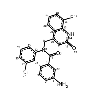 Nc1cccc(C(=O)N(Cc2cc(=O)[nH]c3c(F)cccc23)c2cccc(Cl)c2)c1